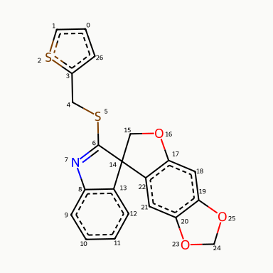 c1csc(CSC2=Nc3ccccc3C23COc2cc4c(cc23)OCO4)c1